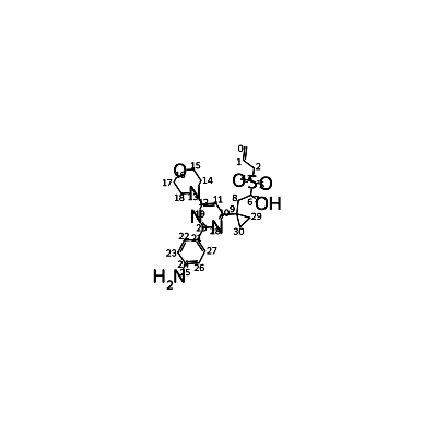 C=CCS(=O)(=O)C(O)CC1(c2cc(N3CCOCC3)nc(-c3ccc(N)cc3)n2)CC1